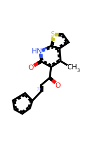 Cc1c(C(=O)/C=C/c2ccccc2)c(=O)[nH]c2sccc12